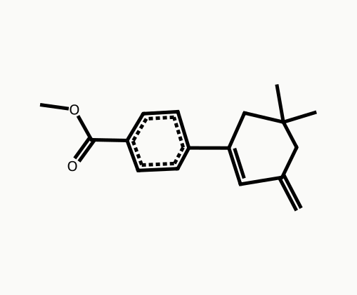 C=C1C=C(c2ccc(C(=O)OC)cc2)CC(C)(C)C1